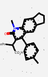 CCCC(C(=O)O)c1c(-c2ccc(C)cc2)c2cc3c(cc2n(C)c1=O)CCC3